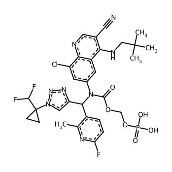 Cc1nc(F)ccc1C(c1cn(C2(C(F)F)CC2)nn1)N(C(=O)OCOP(=O)(O)O)c1cc(Cl)c2ncc(C#N)c(NCC(C)(C)C)c2c1